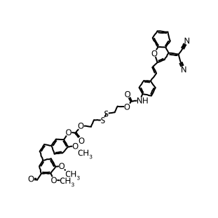 COc1ccc(/C=C\c2cc(C=O)c(OC)c(OC)c2)cc1OC(=O)OCCSSCCOC(=O)Nc1ccc(/C=C/C2=CC(=C(C#N)C#N)c3ccccc3O2)cc1